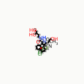 CC(C)(CO)C[C@@H]1N[C@@H](C(=O)NCC[C@H](O)CO)[C@H](c2cccc(Cl)c2F)[C@@]1(C#N)c1ccc(Cl)cc1F